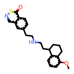 COc1cccc2c1CCCC2CCNCCc1ccc2c(=O)sncc2c1